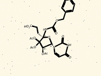 CC(=O)O[C@@H]1[C@@H](n2ccc(=O)[nH]c2=O)O[C@](CCC(=O)O)(NC(=O)OCc2ccccc2)C1(OC(C)=O)OC(C)=O